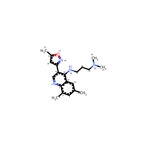 Cc1cc(C)c2ncc(-c3cc(C)on3)c(NCCCN(C)C)c2c1